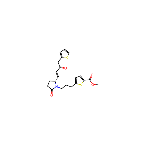 COC(=O)c1ccc(CCCN2C(=O)CC[C@@H]2C=CC(=O)Cc2cccs2)s1